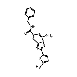 Cc1ccc(-c2nc3cc(C(=O)NCc4ccccc4)cc(N)n3n2)s1